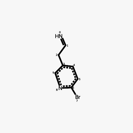 N=CCc1ccc(Br)nc1